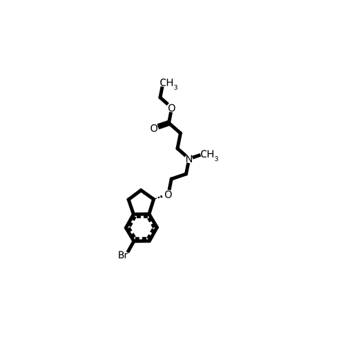 CCOC(=O)CCN(C)CCO[C@H]1CCc2cc(Br)ccc21